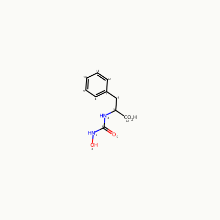 O=C(NO)NC(Cc1ccccc1)C(=O)O